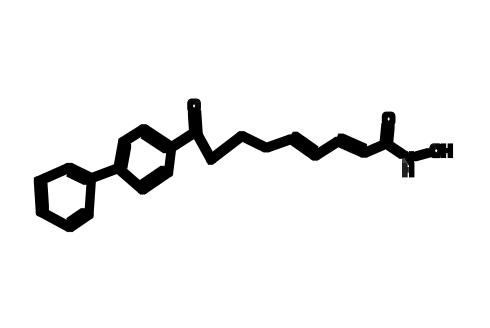 O=C(C=CC=CCCCC(=O)c1ccc(-c2ccccc2)cc1)NO